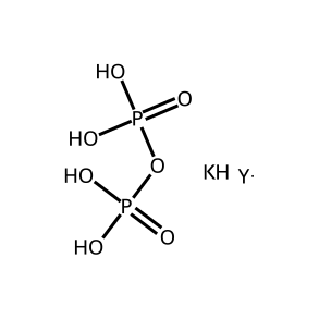 O=P(O)(O)OP(=O)(O)O.[KH].[Y]